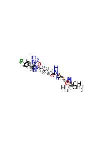 CC(C)(C)c1cnc(CSc2cnc(NC(=O)CCCCCCC(=O)n3ncc(-c4ccc(F)cc4)c3N)s2)o1